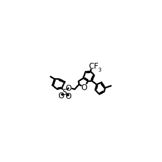 Cc1ccc(S(=O)(=O)OCC2Cc3cc(C(F)(F)F)cc(-c4cccc(C)c4)c3O2)cc1